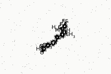 CC1=CNN(N[C@H](C)c2cccc(C(F)F)c2F)c2cc(-c3cccc(CN4CCC(c5ccc([C@@]6(C)CCC(=O)NC6=O)cc5)CC4)c3)ncc21